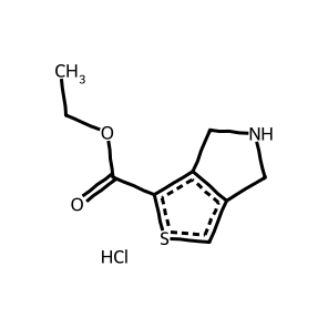 CCOC(=O)c1scc2c1CNC2.Cl